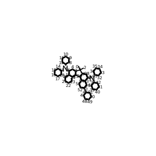 CC1(C)c2cc(N(c3ccccc3)c3ccccc3)c3ccccc3c2-c2c1cc(N(c1ccccc1)c1ccccc1)c1cc(-c3ccccc3)ccc21